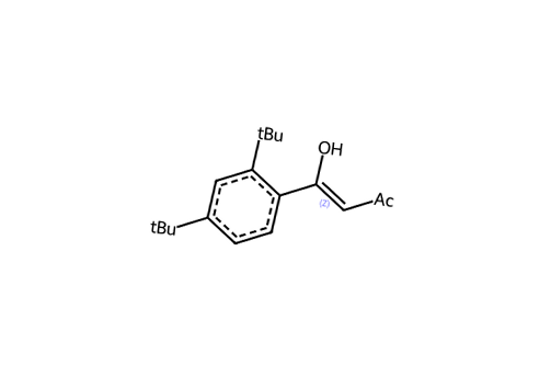 CC(=O)/C=C(\O)c1ccc(C(C)(C)C)cc1C(C)(C)C